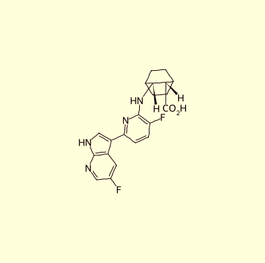 O=C(O)[C@H]1C2CCC(CC2)[C@H]1Nc1nc(-c2c[nH]c3ncc(F)cc23)ccc1F